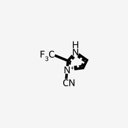 N#C[n+]1cc[nH]c1C(F)(F)F